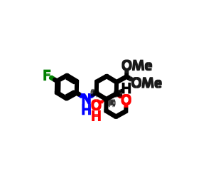 COC(OC)C1CC[C@H](Nc2ccc(F)cc2)[C@]2(O)CCCO[C@H]12